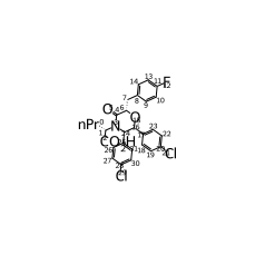 CCC[C@@H](C(=O)O)N1C(=O)[C@H](Cc2ccc(F)cc2)O[C@@H](c2ccc(Cl)cc2)[C@H]1c1ccc(Cl)cc1